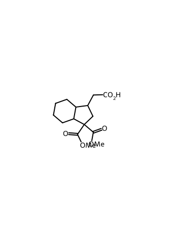 COC(=O)C1(C(=O)OC)CC(CC(=O)O)C2CCCCC21